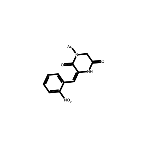 CC(=O)N1CC(=O)NC(=Cc2ccccc2[N+](=O)[O-])C1=O